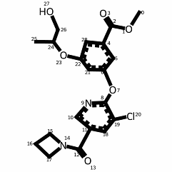 COC(=O)c1cc(Oc2ncc(C(=O)N3CCC3)cc2Cl)cc(OC(C)CO)c1